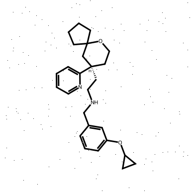 c1ccc([C@]2(CCNCc3cccc(OC4CC4)c3)CCOC3(CCCC3)C2)nc1